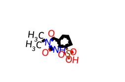 CC(C)n1c(=O)[nH]c2c(S(=O)(=O)O)cccc2c1=O